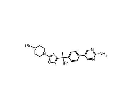 CC(C)C(C)(c1ccc(-c2cnc(N)nc2)cc1)c1noc(N2CCN(C(C)(C)C)CC2)n1